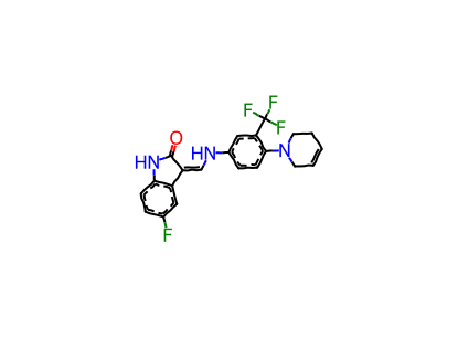 O=C1Nc2ccc(F)cc2C1=CNc1ccc(N2CC=CCC2)c(C(F)(F)F)c1